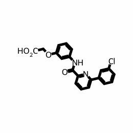 O=C(O)COc1cccc(NC(=O)c2cccc(-c3cccc(Cl)c3)n2)c1